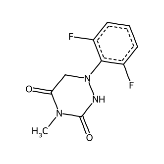 CN1C(=O)CN(c2c(F)cccc2F)NC1=O